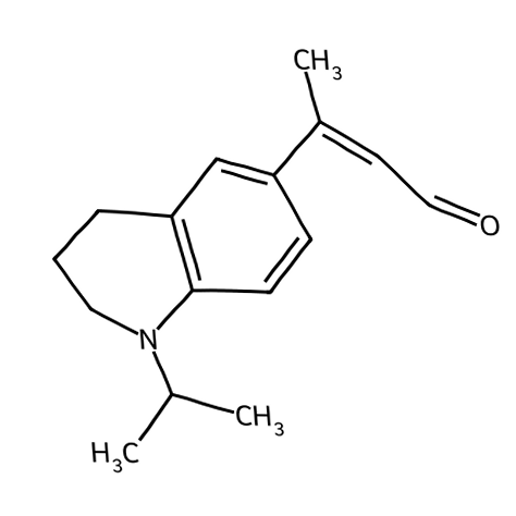 C/C(=C/C=O)c1ccc2c(c1)CCCN2C(C)C